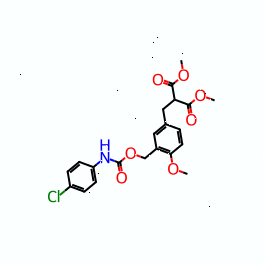 COC(=O)C(Cc1ccc(OC)c(COC(=O)Nc2ccc(Cl)cc2)c1)C(=O)OC